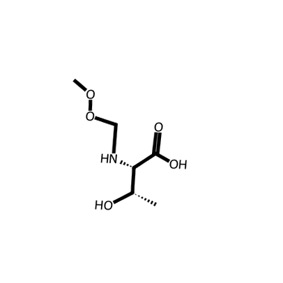 COOCN[C@H](C(=O)O)[C@H](C)O